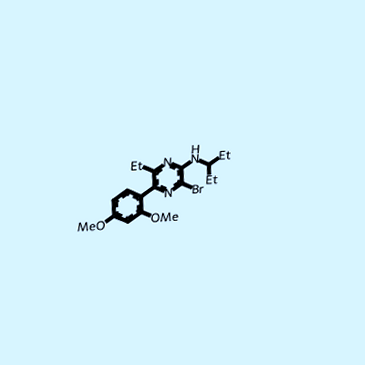 CCc1nc(NC(CC)CC)c(Br)nc1-c1ccc(OC)cc1OC